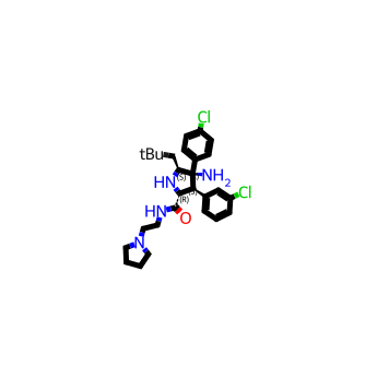 CC(C)(C)C[C@@H]1N[C@@H](C(=O)NCCN2CCCC2)[C@H](c2cccc(Cl)c2)[C@@]1(N)c1ccc(Cl)cc1